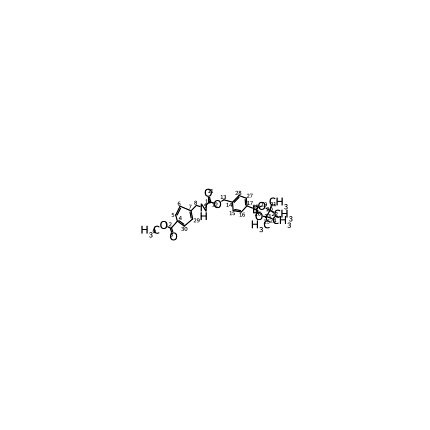 COC(=O)c1ccc(CNC(=O)OCc2ccc(B3OC(C)(C)C(C)(C)O3)cc2)cc1